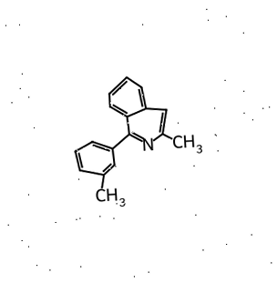 Cc1cccc(-c2nc(C)cc3ccccc23)c1